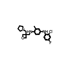 Cc1cc(Nc2ccc(F)cc2Cl)ccc1NCC1(CN2CCCC2)COC1